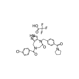 O=C(O)C(F)(F)F.O=C(c1ccc(CN2C(=O)CN(C(=O)c3ccc(Cl)cc3)Cc3n[nH]cc32)cc1)N1CCCC1